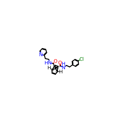 O=C(NCCc1ccccn1)[C@H]1[C@H](C(=O)NCCc2ccc(Cl)cc2)[C@@H]2C=C[C@H]1C21CC1